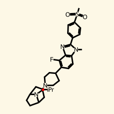 CC(C)CN1C2CCC1CC(N1CCC(c3ccc4c(nc(-c5ccc(S(C)(=O)=O)cc5)n4C)c3F)CC1)C2